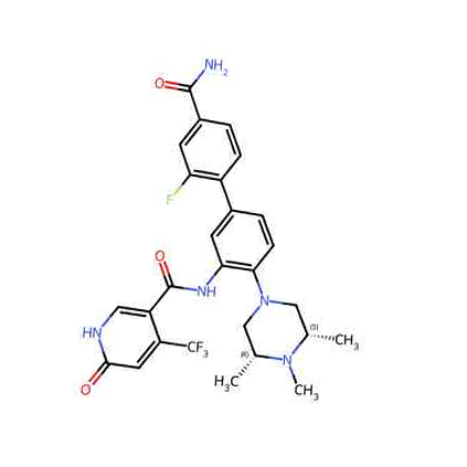 C[C@@H]1CN(c2ccc(-c3ccc(C(N)=O)cc3F)cc2NC(=O)c2c[nH]c(=O)cc2C(F)(F)F)C[C@H](C)N1C